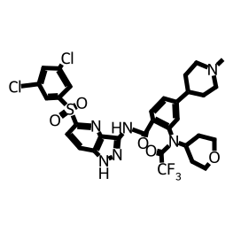 CN1CCC(c2ccc(C(=O)Nc3n[nH]c4ccc(S(=O)(=O)c5cc(Cl)cc(Cl)c5)nc34)c(N(C(=O)C(F)(F)F)C3CCOCC3)c2)CC1